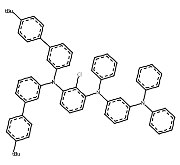 CC(C)(C)c1ccc(-c2cccc(N(c3cccc(-c4ccc(C(C)(C)C)cc4)c3)c3cccc(N(c4ccccc4)c4cccc(N(c5ccccc5)c5ccccc5)c4)c3Cl)c2)cc1